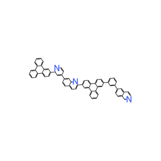 c1cc(-c2ccc3cnccc3c2)cc(-c2ccc3c4ccc(-c5ccc6ccc(-c7ccnc(-c8ccc9c%10ccccc%10c%10ccccc%10c9c8)c7)cc6n5)cc4c4ccccc4c3c2)c1